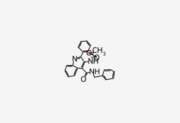 CS(=O)(=O)Nc1c(-c2ccccc2)nc2ccccc2c1C(=O)NCc1ccccc1